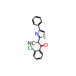 N#CC(C(=O)c1ccccc1Cl)c1nc(-c2ccccc2)cs1